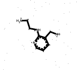 [NH]Cc1cccnc1NCCN